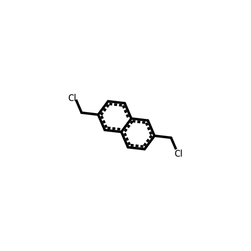 ClCc1ccc2cc(CCl)ccc2c1